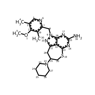 COc1c(C)cnc(Cn2nc3c4c(nc(N)nc42)SCC(N2CCCCC2)C3)c1C